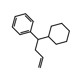 C=CCC(c1[c]cccc1)C1CCCCC1